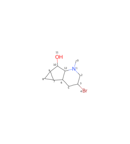 CN1CC(Br)CC2C3CC3C(O)C21